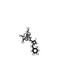 CCO[Si](CCC1=CCC1Cc1ccccc1)(OCC)OCC